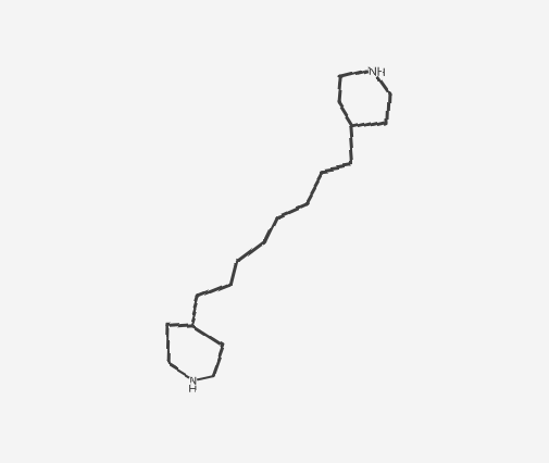 C(CCCCC1CCNCC1)CCCC1CCNCC1